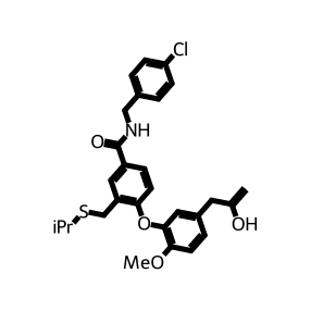 C=C(O)Cc1ccc(OC)c(Oc2ccc(C(=O)NCc3ccc(Cl)cc3)cc2CSC(C)C)c1